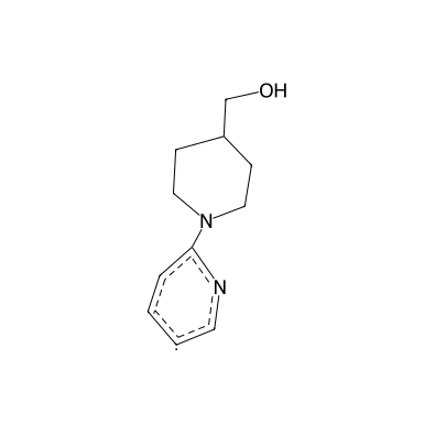 OCC1CCN(c2cc[c]cn2)CC1